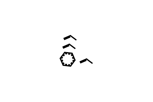 C=CC.C=CC.C=CC.c1ccccc1